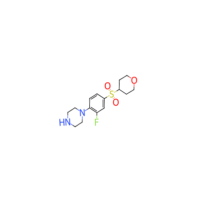 O=S(=O)(c1ccc(N2CCNCC2)c(F)c1)C1CCOCC1